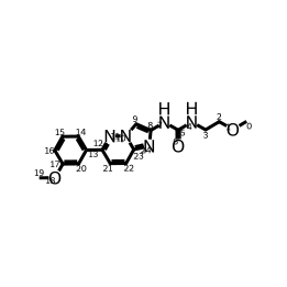 COCCNC(=O)Nc1cn2nc(-c3cccc(OC)c3)ccc2n1